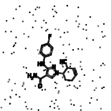 N#CC1C#CCCC1n1cc(C(N)=O)c(Nc2ccc(F)cc2)n1